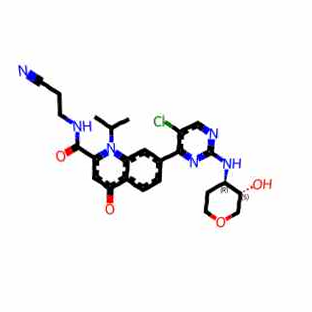 CC(C)n1c(C(=O)NCCC#N)cc(=O)c2ccc(-c3nc(N[C@@H]4CCOC[C@H]4O)ncc3Cl)cc21